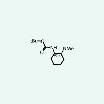 CN[C@H]1CCCC[C@H]1NC(=O)OC(C)(C)C